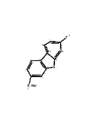 CC(=O)Nc1ccc2c(c1)sc1cc(F)ccc12